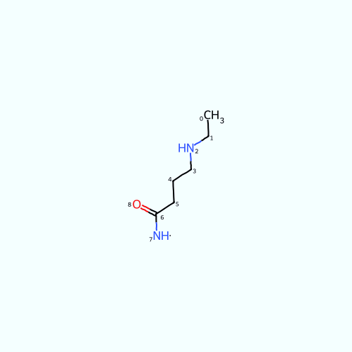 CCNCCCC([NH])=O